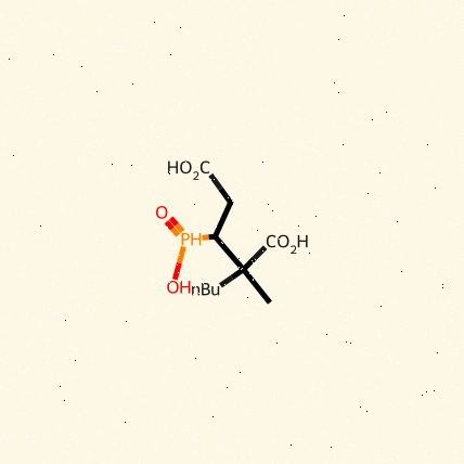 CCCCC(C)(C(=O)O)C(CC(=O)O)[PH](=O)O